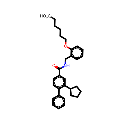 O=C(O)CCCCCOc1ccccc1CNC(=O)c1ccc(-c2ccccc2)c(C2CCCC2)c1